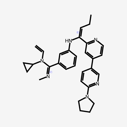 C=CN(/C(=N\C)c1cccc(N/C(=C/CC)c2cc(-c3ccc(N4CCCC4)nc3)ccn2)c1)C1CC1